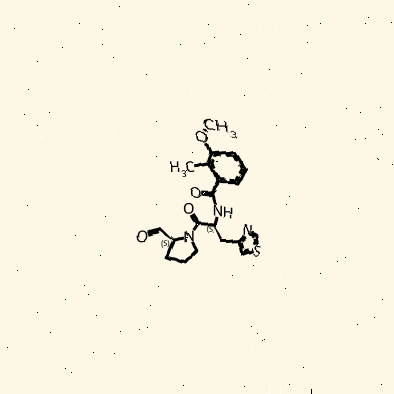 COc1cccc(C(=O)N[C@@H](Cc2cscn2)C(=O)N2CCC[C@H]2C=O)c1C